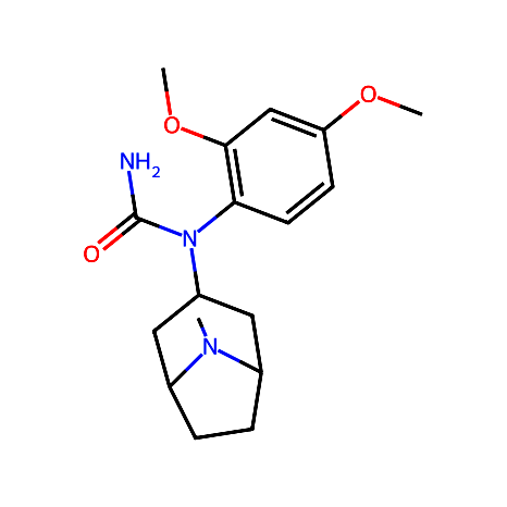 COc1ccc(N(C(N)=O)C2CC3CCC(C2)N3C)c(OC)c1